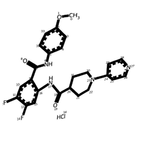 COc1ccc(NC(=O)c2cc(F)c(F)cc2NC(=O)C2CCN(c3ccncc3)CC2)cc1.Cl